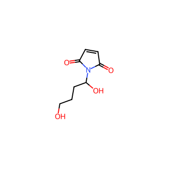 O=C1C=CC(=O)N1C(O)CCCO